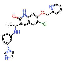 CC(Nc1cccc(-n2ccnc2)c1)c1cc2cc(Cl)c(OCc3ccccn3)cc2[nH]c1=O